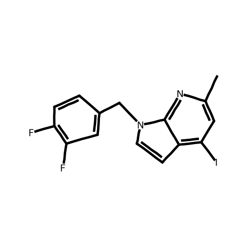 Cc1cc(I)c2ccn(Cc3ccc(F)c(F)c3)c2n1